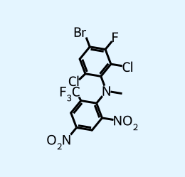 CN(c1c([N+](=O)[O-])cc([N+](=O)[O-])cc1C(F)(F)F)c1c(Cl)cc(Br)c(F)c1Cl